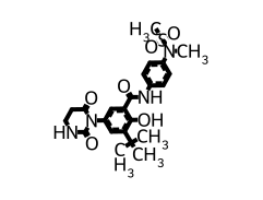 CN(c1ccc(NC(=O)c2cc(N3C(=O)CCNC3=O)cc(C(C)(C)C)c2O)cc1)S(C)(=O)=O